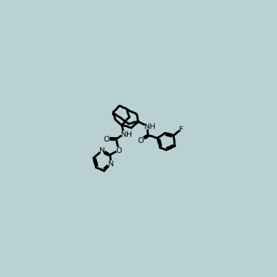 O=C(NC12CC3CC(C1)CC(NC(=O)c1cccc(F)c1)(C3)C2)Oc1ncccn1